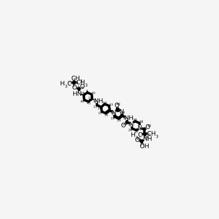 CC(C)(C)OC(=O)N[C@H]1CC[C@H](NCC2CC=C(n3ccc(NC(=O)N4CCN(C(=O)C(C)(C)NC(=O)O)CC4)nc3=O)CC2)CC1